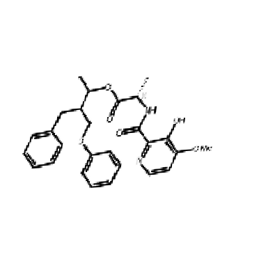 COc1ccnc(C(=O)N[C@@H](C)C(=O)OC(C)C(COc2ccccc2)Cc2ccccc2)c1O